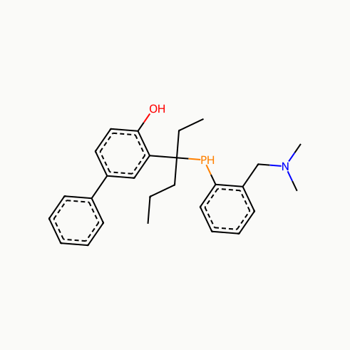 CCCC(CC)(Pc1ccccc1CN(C)C)c1cc(-c2ccccc2)ccc1O